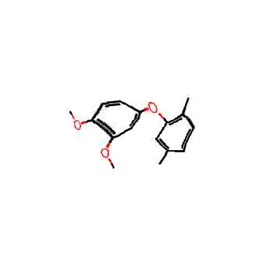 COc1ccc(Oc2cc(C)ccc2C)cc1OC